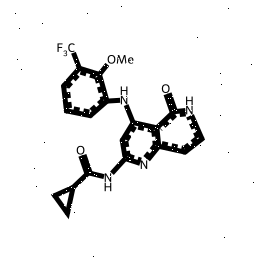 COc1c(Nc2cc(NC(=O)C3CC3)nc3cc[nH]c(=O)c23)cccc1C(F)(F)F